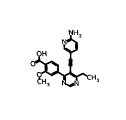 CCc1ncnc(-c2ccc(C(=O)O)c(OC)c2)c1C#Cc1ccc(N)nc1